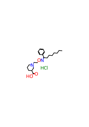 CCCCCCCC(=NOCCN1CCCC(C(=O)O)C1)c1ccccc1.Cl